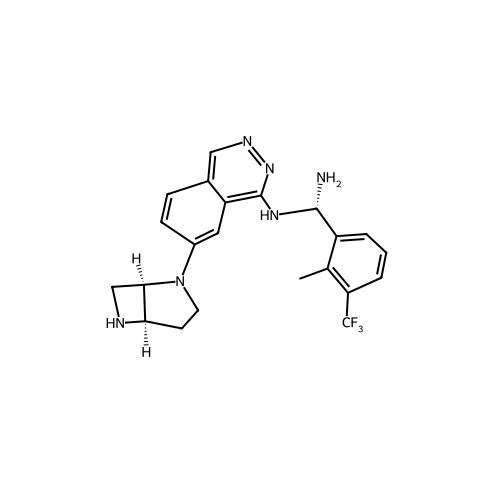 Cc1c([C@@H](N)Nc2nncc3ccc(N4CC[C@H]5NC[C@H]54)cc23)cccc1C(F)(F)F